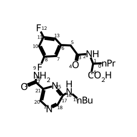 CCCC(NC(=O)Cc1cc(F)cc(F)c1)C(=O)O.CCCCNc1cncc(C(N)=O)n1